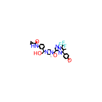 COc1ccc(-c2nc3c(C(=O)N4CCN(C(CO)c5cccc(NC(=O)C6CC6)c5)C[C@H]4C)cnn3c(C(F)(F)F)c2C)cc1